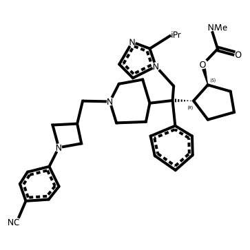 CNC(=O)O[C@H]1CCC[C@@H]1C(Cn1ccnc1C(C)C)(c1ccccc1)C1CCN(CC2CN(c3ccc(C#N)cc3)C2)CC1